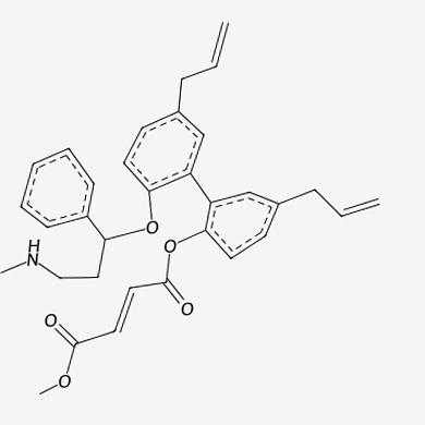 C=CCc1ccc(OC(=O)C=CC(=O)OC)c(-c2cc(CC=C)ccc2OC(CCNC)c2ccccc2)c1